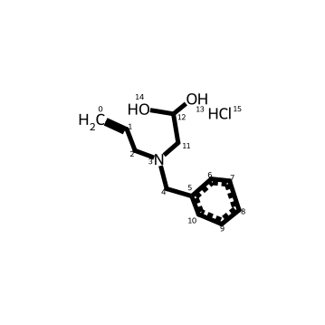 C=CCN(Cc1ccccc1)CC(O)O.Cl